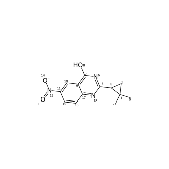 CC1(C)CC1c1nc(O)c2cc([N+](=O)[O-])ccc2n1